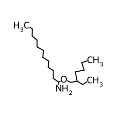 CCCCCCCCCCCC(N)OCC(CC)CCCC